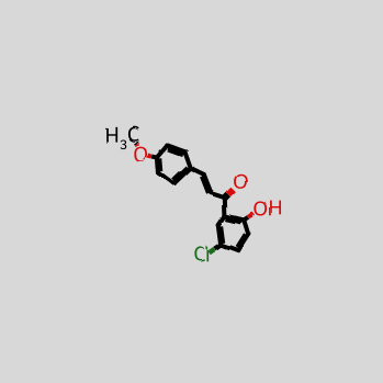 COc1ccc(C=CC(=O)c2cc(Cl)ccc2O)cc1